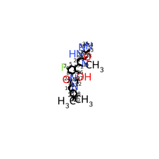 Cn1cc(-c2cc(F)cc(N3CCn4c(cc5c4CC(C)(C)C5)C3=O)c2CO)cc(Nc2ccncn2)c1=O